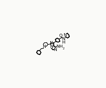 Nc1nccn2c(C3CCCN(CCc4ccccc4)C3)nc(-c3ccc(C(=O)Nc4ccccn4)cc3)c12